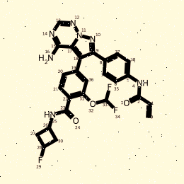 C=CC(=O)Nc1ccc(-c2nn3ncnc(N)c3c2-c2ccc(C(=O)NC3CC(F)C3)c(OC(F)F)c2)cc1